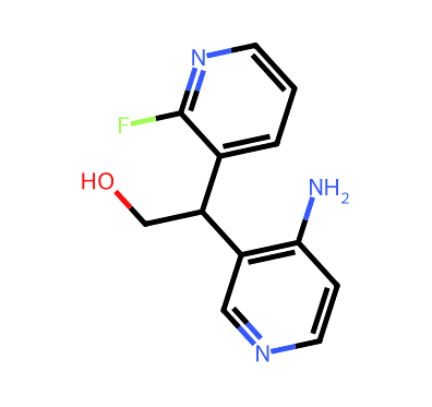 Nc1ccncc1C(CO)c1cccnc1F